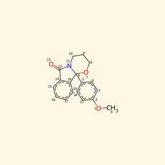 COc1ccc(C23OCCCN2C(=O)c2ccccc23)cc1